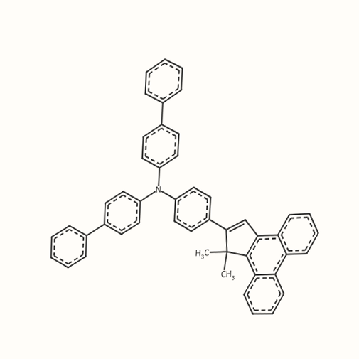 CC1(C)C(c2ccc(N(c3ccc(-c4ccccc4)cc3)c3ccc(-c4ccccc4)cc3)cc2)=Cc2c1c1ccccc1c1ccccc21